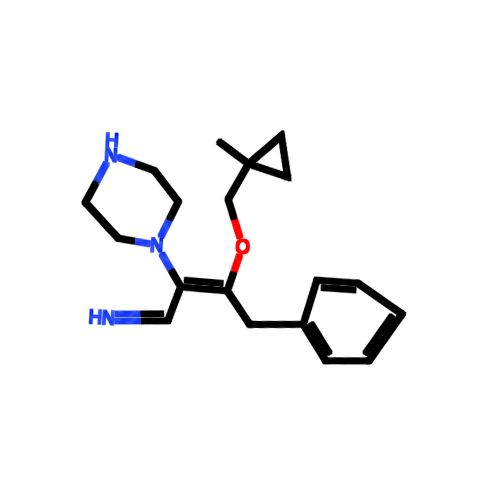 CC1(CO/C(Cc2ccccc2)=C(/C=N)N2CCNCC2)CC1